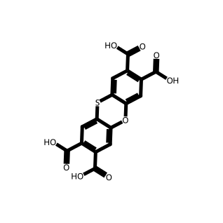 O=C(O)c1cc2c(cc1C(=O)O)Sc1cc(C(=O)O)c(C(=O)O)cc1O2